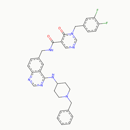 O=C(NCc1ccc2ncnc(NC3CCN(Cc4ccccc4)CC3)c2c1)c1cncn(Cc2ccc(F)c(F)c2)c1=O